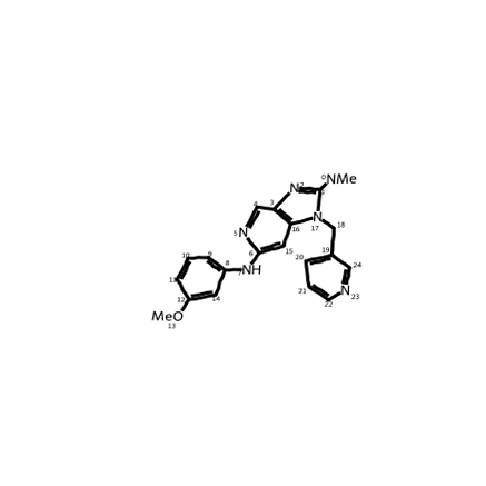 CNc1nc2cnc(Nc3cccc(OC)c3)cc2n1Cc1cccnc1